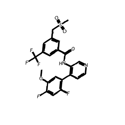 COc1cc(-c2ccncc2NC(=O)c2cc(CS(C)(=O)=O)cc(C(F)(F)F)c2)c(F)cc1F